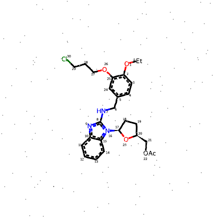 CCOc1ccc(CNc2nc3ccccc3n2[C@H]2CC[C@@H](COC(C)=O)O2)cc1OCCCCl